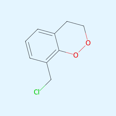 ClCc1cccc2c1OOCC2